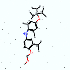 COCOc1ccc(Nc2c(C)cc(O[Si](C(C)C)(C(C)C)C(C)C)cc2C)cc1C(C)C